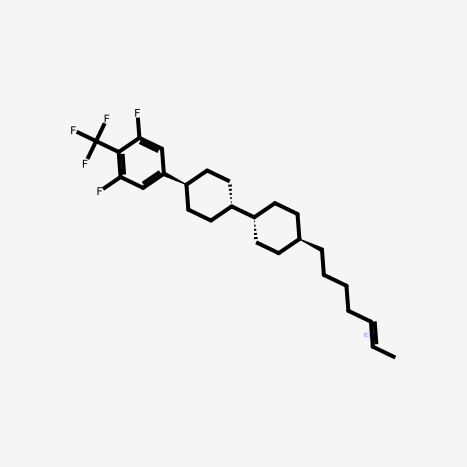 C/C=C/CCCC[C@H]1CC[C@H]([C@H]2CC[C@H](c3cc(F)c(C(F)(F)F)c(F)c3)CC2)CC1